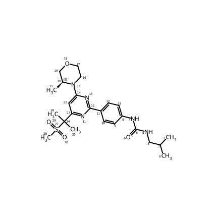 CC(C)CNC(=O)Nc1ccc(-c2nc(N3CCOC[C@@H]3C)cc(C(C)(C)S(C)(=O)=O)n2)cc1